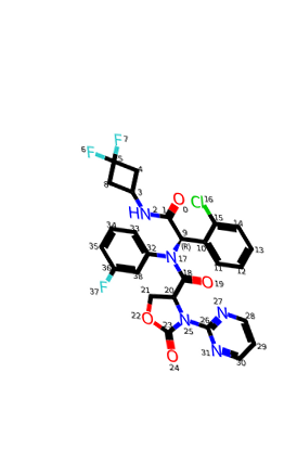 O=C(NC1CC(F)(F)C1)[C@@H](c1ccccc1Cl)N(C(=O)C1COC(=O)N1c1ncccn1)c1cccc(F)c1